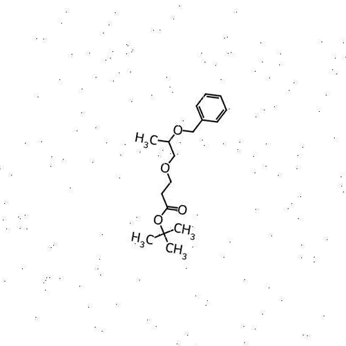 CC(COCCC(=O)OC(C)(C)C)OCc1ccccc1